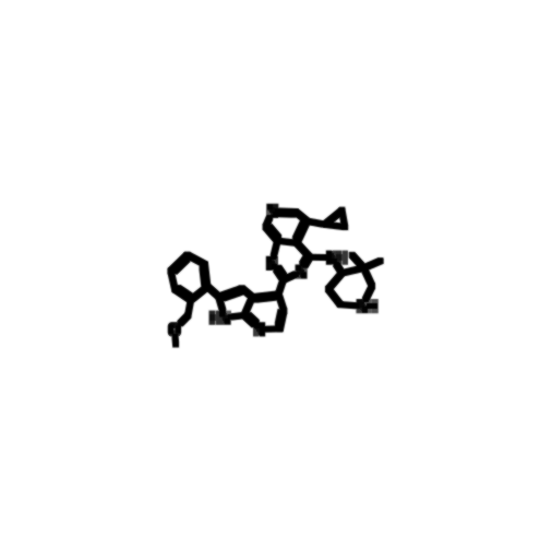 COCc1ccccc1-c1cc2c(-c3nc(NC4CCNCC4(C)C)c4c(C5CC5)cncc4n3)ccnc2[nH]1